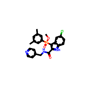 COP(=O)(c1cc(C)cc(C)c1)c1c(C(=O)NCc2ccncc2)[nH]c2ccc(Cl)cc12